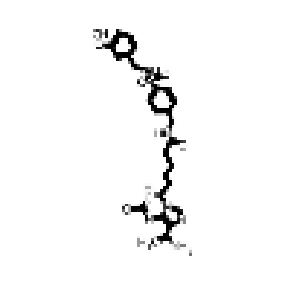 C=C(N)c1ncn(CCCCCC(=O)NCc2ccc(S(=O)(=O)NCc3cccc(OC)c3)cc2)c1/N=C(\C)Cl